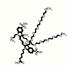 COCCOCCOCCOCCOCCOCCC1(C)C(/C=C/C=C2/N(CCOC)c3ccc(S(=O)(=O)O)cc3C2(C)CCOCCOCCOCCOCCOCCOC)=[N+](CCCCCC(=O)O)c2ccc(S(=O)(=O)O)cc21